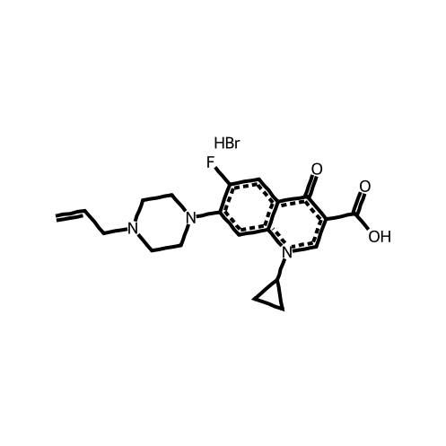 Br.C=CCN1CCN(c2cc3c(cc2F)c(=O)c(C(=O)O)cn3C2CC2)CC1